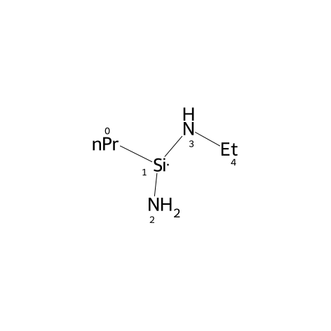 CCC[Si](N)NCC